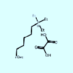 CCCCCCCCCCCCCCC[PH](CC)(CC)CC.O=C(O)C(=O)O